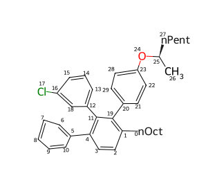 CCCCCCCCc1ccc(-c2ccccc2)c(-c2cccc(Cl)c2)c1-c1ccc(O[C@H](C)CCCCC)cc1